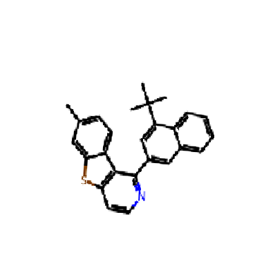 Cc1ccc2c(c1)sc1ccnc(-c3cc(C(C)(C)C)c4ccccc4c3)c12